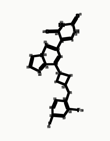 O=c1[nH]cc(-c2cc(N3CC(Cc4ccc(F)cc4F)C3)c3nccn3n2)c(=O)[nH]1